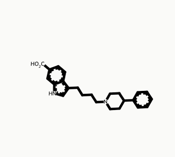 O=C(O)c1ccc2c(CCCCN3CCC(c4ccccc4)CC3)c[nH]c2c1